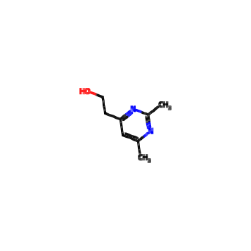 Cc1cc(CCO)nc(C)n1